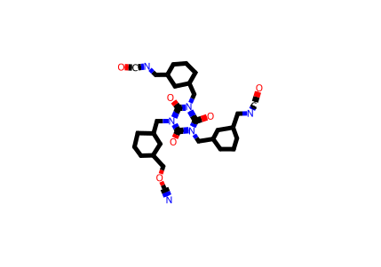 N#COCC1CCCC(Cn2c(=O)n(CC3CCCC(CN=C=O)C3)c(=O)n(CC3CCCC(CN=C=O)C3)c2=O)C1